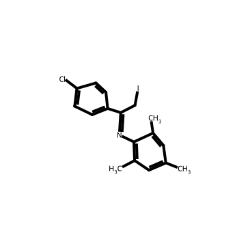 Cc1cc(C)c(N=C(CI)c2ccc(Cl)cc2)c(C)c1